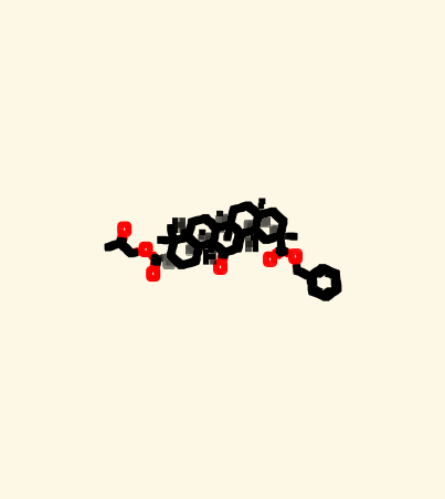 CC(=O)COC(=O)[C@H]1CC[C@]2(C)[C@H]3C(=O)C=C4[C@@H]5C[C@@](C)(C(=O)OCc6ccccc6)CC[C@]5(C)CC[C@@]4(C)[C@]3(C)CC[C@H]2C1(C)C